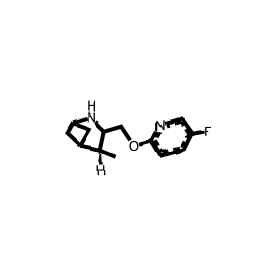 C[C@@H]1C2CC(C2)NC1COc1ccc(F)cn1